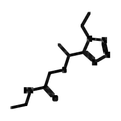 CCNC(=O)CSC(C)c1nnnn1CC